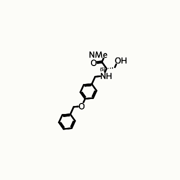 CNC(=O)[C@H](CO)NCc1ccc(OCc2ccccc2)cc1